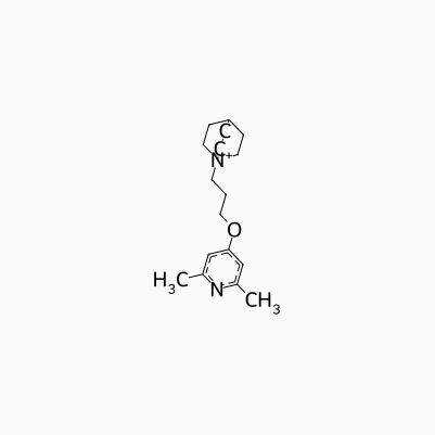 Cc1cc(OCCC[N+]23CCC(CC2)CC3)cc(C)n1